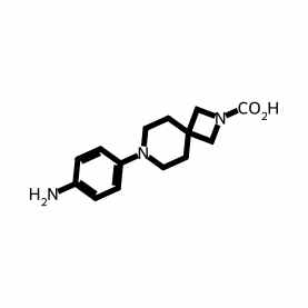 Nc1ccc(N2CCC3(CC2)CN(C(=O)O)C3)cc1